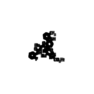 CCOC(=O)c1noc([C@@H](NC(=O)[C@]2(NC(=O)[C@@H](NC(=O)Cc3ccccc3F)C(C)CC)CCc3[nH]c4c(C(F)(F)F)cccc4c3C2)C(C)CC)n1